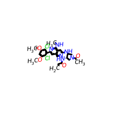 C=CC(=O)N[C@H]1CN(C(C)=O)C[C@H]1Nc1cc2c(NC)nc(-c3c(Cl)c(OC)cc(OC)c3Cl)cc2cn1